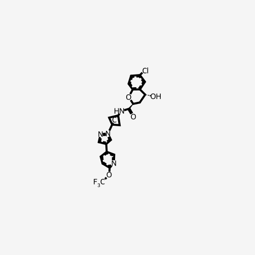 O=C(NC12CC(n3cc(-c4ccc(OC(F)(F)F)nc4)cn3)(C1)C2)[C@@H]1C[C@@H](O)c2cc(Cl)ccc2O1